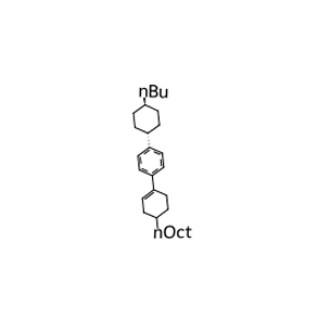 CCCCCCCCC1CC=C(c2ccc([C@H]3CC[C@H](CCCC)CC3)cc2)CC1